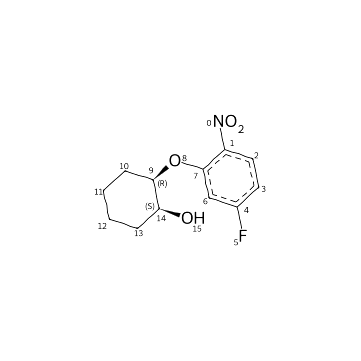 O=[N+]([O-])c1ccc(F)cc1O[C@@H]1CCCC[C@@H]1O